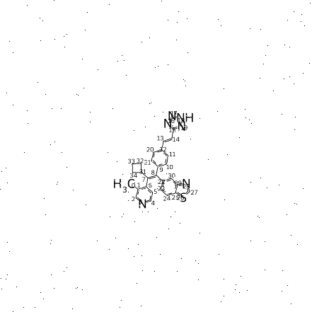 Cc1cnccc1C(=C(c1ccc(C=Cc2nn[nH]n2)cc1)c1ccc2scnc2c1)C1CCC1